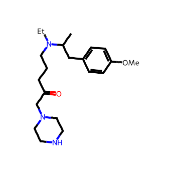 CCN(CCCC(=O)CN1CCNCC1)C(C)Cc1ccc(OC)cc1